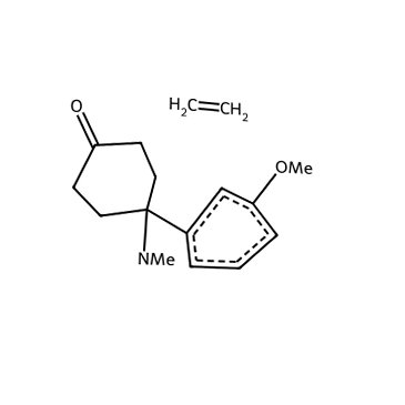 C=C.CNC1(c2cccc(OC)c2)CCC(=O)CC1